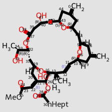 C=C1C[C@@H]2C[C@@H]3CC(=C)C[C@H](/C=C/C(C)(C)[C@]4(O)O[C@@H](C/C(=C\C(=O)OC)[C@@H]4OC(=O)CCCCCCC)C[C@H]([C@@H](C)O)OC(=O)C[C@H](O)C[C@H](C1)O2)O3